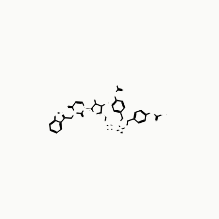 CC(C)(C)C(=O)Oc1ccc(COP(=O)(OCc2ccc(OC(=O)C(C)(C)C)cc2)OP(=O)(O)OC[C@H]2O[C@@H](n3ccc(=O)n(Cc4noc5ccccc45)c3=O)C(O)C2O)cc1